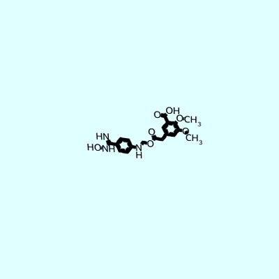 COc1cc(CC(=O)OCNc2ccc(C(=N)NO)cc2)cc(C(=O)O)c1OC